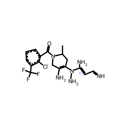 CC1CC(N(N)/C(N)=C/C=N)=C(N)CN1C(=O)c1cccc(C(F)(F)F)c1Cl